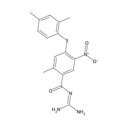 Cc1ccc(Sc2cc(C)c(C(=O)N=C(N)N)cc2[N+](=O)[O-])c(C)c1